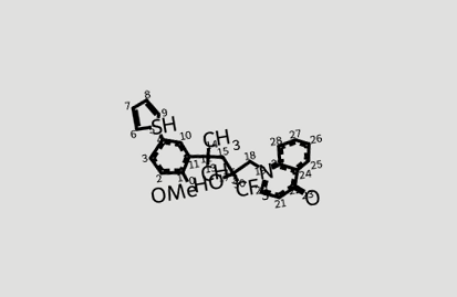 COc1ccc([SH]2C=CC=C2)cc1C(C)(C)CC(O)(Cn1ccc(=O)c2ccccc21)C(F)(F)F